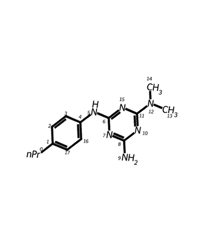 CCCc1ccc(Nc2nc(N)nc(N(C)C)n2)cc1